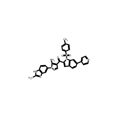 Cc1ccc(S(=O)(=O)n2c(C(=O)c3cnn(-c4ccc5[nH]c(C)nc5c4)c3N)cc3ccc(-c4ccncc4)cc32)cc1